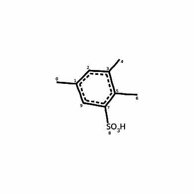 Cc1cc(C)c(C)c(S(=O)(=O)O)c1